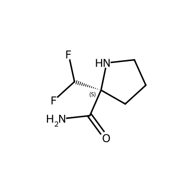 NC(=O)[C@]1(C(F)F)CCCN1